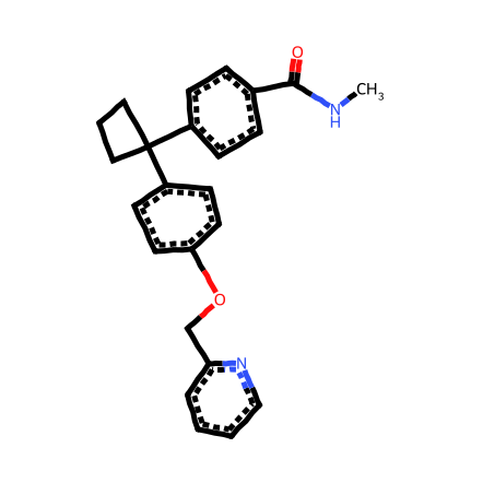 CNC(=O)c1ccc(C2(c3ccc(OCc4ccccn4)cc3)CCC2)cc1